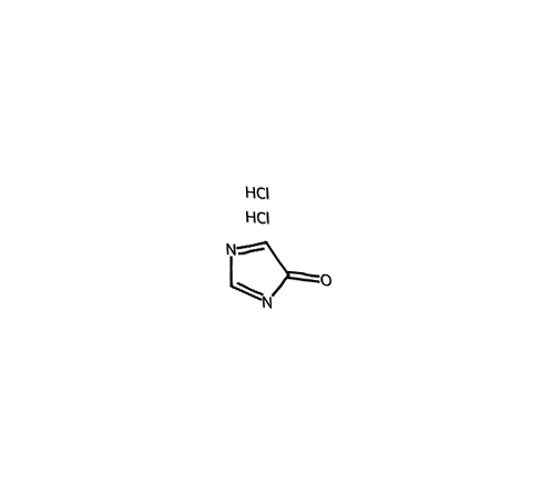 Cl.Cl.O=C1C=NC=N1